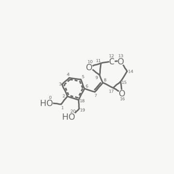 OCc1cccc(C=C2C3OC3COCC3OC23)c1CO